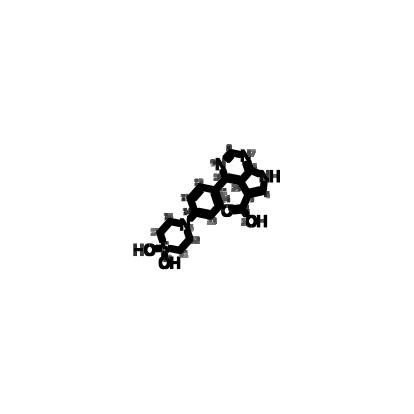 O=C(O)c1c[nH]c2ncnc(-c3ccc(N4CCS(O)(O)CC4)cc3)c12